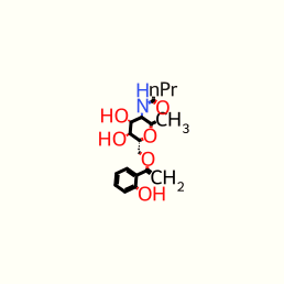 C=C(OC[C@H]1OC(C)[C@H](NC(=O)CCC)[C@@H](O)[C@@H]1O)c1ccccc1O